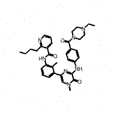 CCCCc1ncccc1C(=O)Nc1cccc(-c2cn(C)c(=O)c(Nc3ccc(C(=O)N4CCN(CC)CC4)cc3)n2)c1C